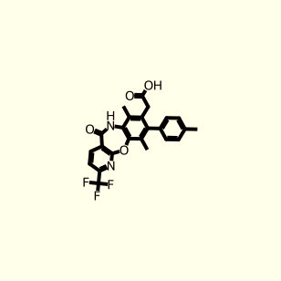 Cc1ccc(-c2c(C)c3c(c(C)c2CC(=O)O)NC(=O)c2ccc(C(F)(F)F)nc2O3)cc1